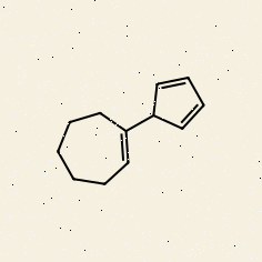 C1=CC(C2=CCCCCC2)C=C1